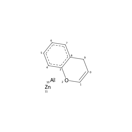 C1=COc2ccccc2C1.[Al].[Zn]